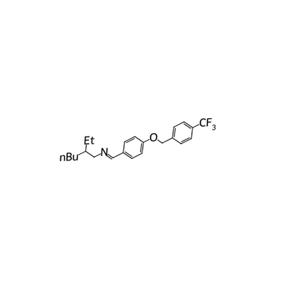 CCCCC(CC)CN=Cc1ccc(OCc2ccc(C(F)(F)F)cc2)cc1